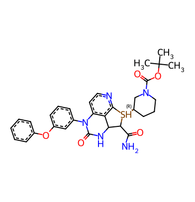 CC(C)(C)OC(=O)N1CCC[C@@H]([SH]2c3nccc4c3C(NC(=O)N4c3cccc(Oc4ccccc4)c3)C2C(N)=O)C1